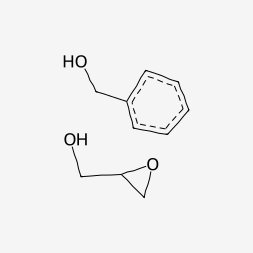 OCC1CO1.OCc1ccccc1